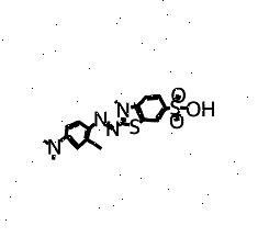 Cc1cc(N(C)C)ccc1/N=N/c1sc2cc(S(=O)(=O)O)ccc2[n+]1C